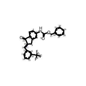 O=C(Nc1ccc2c(c1)C/C(=C\c1cccc(C(F)(F)F)c1)C2=O)OCc1ccccc1